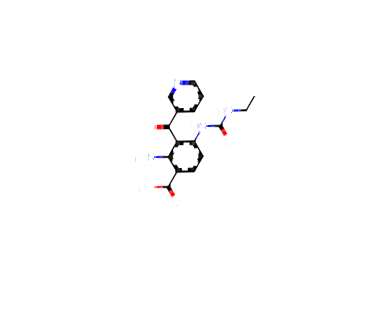 CCNC(=O)Nc1ccc(C(=O)O)c(N)c1C(=O)c1cccnc1